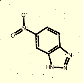 O=[N+]([O-])c1c[c]c2nn[nH]c2c1